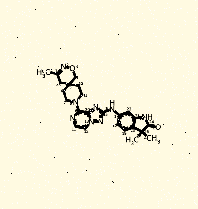 CC1=NOCC2(CCN(c3nccn4nc(Nc5ccc6c(c5)NC(=O)C6(C)C)nc34)CC2)C1